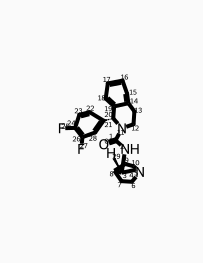 O=C(N[C@@H]1CN2CCC1CC2)N1CCc2ccccc2[C@H]1c1ccc(F)c(F)c1